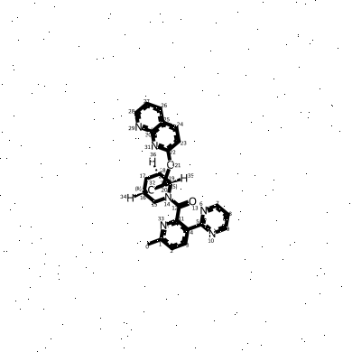 Cc1ccc(-c2ncccn2)c(C(=O)N2C[C@@H]3CC[C@H]2[C@H](Oc2ccc4cccnc4n2)C3)n1